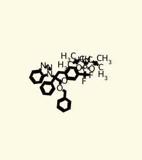 CC(C)(C)OP(=O)(OC(C)(C)C)C(F)(F)c1ccc(CC(C(=O)OCc2ccccc2)(c2ccccc2)n2nnc3ccccc32)cc1